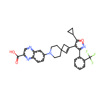 O=C(O)c1cnc2cc(N3CCC4(C=C(c5c(-c6ccccc6C(F)(F)F)noc5C5CC5)C4)CC3)ccc2n1